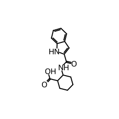 O=C(NC1CCCCC1C(=O)O)c1cc2ccccc2[nH]1